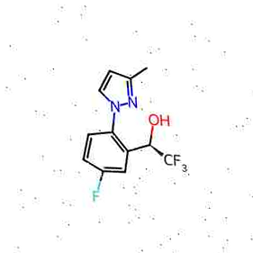 Cc1ccn(-c2ccc(F)cc2[C@@H](O)C(F)(F)F)n1